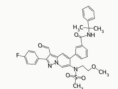 COCCN(c1cn2nc(-c3ccc(F)cc3)c(C=O)c2cc1-c1cccc(C(=O)NC(C)(C)c2ccccc2)c1)S(C)(=O)=O